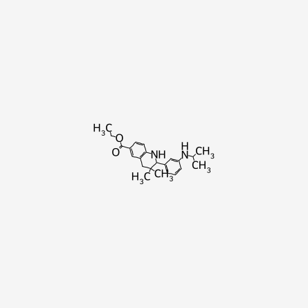 CCOC(=O)c1ccc2c(c1)CC(C)(C)C(c1cccc(NC(C)C)c1)N2